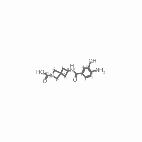 Nc1ccc(C(=O)NC2CC3(C2)CN(C(=O)O)C3)cc1O